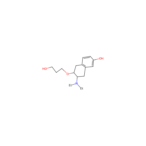 CCN(CC)C1Cc2cc(O)ccc2CC1OCCCO